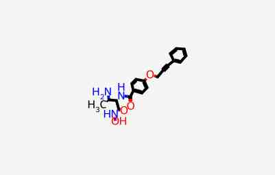 C[C@@H](N)[C@H](NC(=O)c1ccc(OCC#Cc2ccccc2)cc1)C(=O)NO